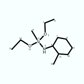 CCO[Si](C)(NC1CCCCC1C)OCC